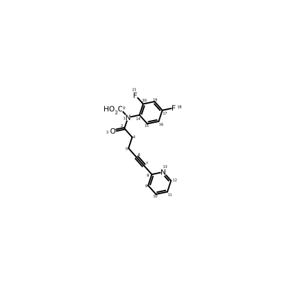 O=C(O)N(C(=O)CCC#Cc1ccccn1)c1ccc(F)cc1F